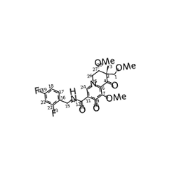 COC[C@]1(C)C(=O)c2c(OC)c(=O)c(C(=O)NCc3ccc(F)cc3F)cn2C[C@@H]1OC